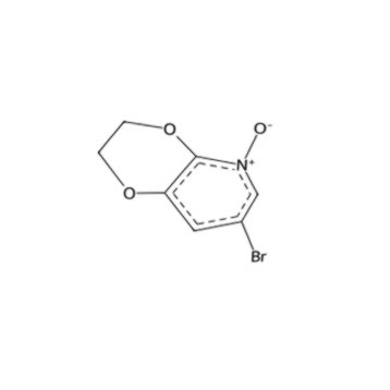 [O-][n+]1cc(Br)cc2c1OCCO2